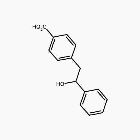 O=C(O)c1ccc(CC(O)c2ccccc2)cc1